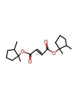 CC1CCCC1(C)OC(=O)/C=C/C(=O)OC1(C)CCCC1C